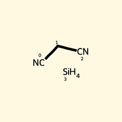 N#CCC#N.[SiH4]